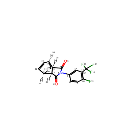 O=C1[C@@H]2[C@H](C(=O)N1c1ccc(F)c(C(F)(F)F)c1)[C@@H]1C=C[C@H]2CC1